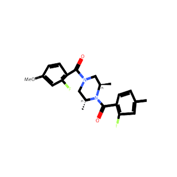 COc1ccc(C(=O)N2C[C@@H](C)N(C(=O)c3ccc(C)cc3F)[C@H](C)C2)c(F)c1